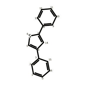 c1ccc(-c2csc(-c3ccccc3)c2)cc1